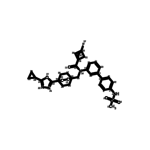 CS(=O)(=O)Nc1ccc(-c2cccc(N(CC34CCC(c5nnc(C6CC6)o5)(CC3)CC4)C(=O)C34CC(F)(C3)C4)c2)cc1